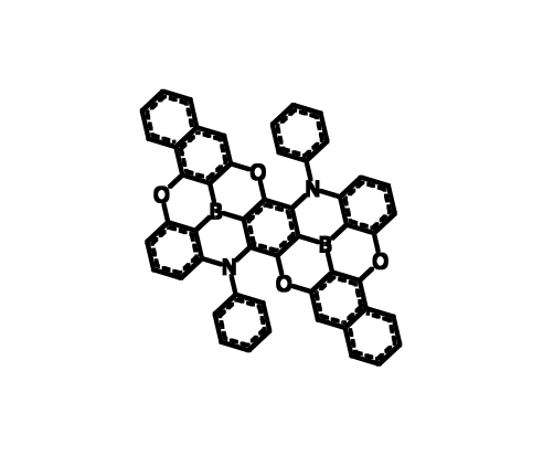 c1ccc(N2c3cccc4c3B3c5c(c6c7c(c52)Oc2cc5ccccc5c5c2B7c2c(cccc2N6c2ccccc2)O5)Oc2cc5ccccc5c(c23)O4)cc1